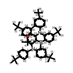 CC(C)(C)c1ccc(N2c3ccc(C(C)(C)C)cc3B3c4ccc(C(C)(C)C)cc4N(c4ccc(C(C)(C)C)cc4-c4cc(C(C)(C)C)cc(C(C)(C)C)c4)c4cccc2c43)cc1